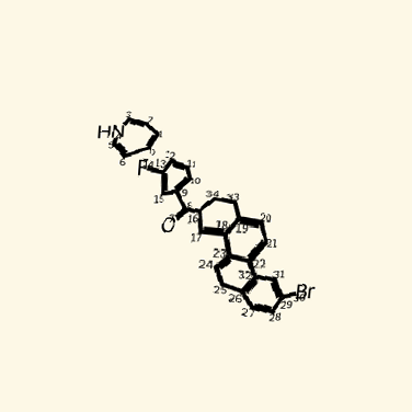 C1=CC=CNC=C1.O=C(c1cccc(F)c1)C1C=c2c(ccc3c2=CCc2ccc(Br)cc2-3)CC1